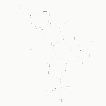 CCCN(c1ccc(S(N)(=O)=O)cc1S(=O)(=O)C(F)(F)F)[C@H](S)c1cccc(N(C)C)c1